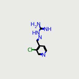 N=C(N)N/N=C/c1ccncc1Cl